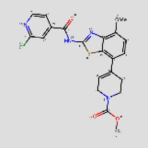 COc1ccc(C2=CCN(C(=O)OC(C)(C)C)CC2)c2sc(NC(=O)c3ccnc(Cl)c3)nc12